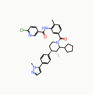 Cc1ccc(C(=O)N2CC[C@H](c3ccc(-c4ccnn4C)cc3)[C@@H](C)C2C2CCCC2)cc1NC(=O)c1ccc(Cl)nc1